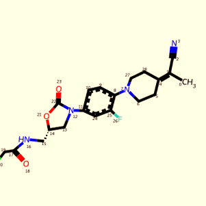 CC(C#N)=C1CCN(c2ccc(N3C[C@H](CNC(=O)CCl)OC3=O)cc2F)CC1